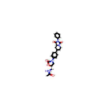 CC(=O)NC[C@H]1CN(c2ccc(C3=CCN4C(=O)N(c5ccccc5)C(=O)C4C3)cc2)C(=O)O1